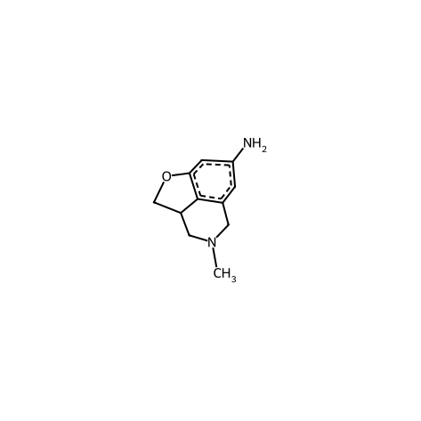 CN1Cc2cc(N)cc3c2C(CO3)C1